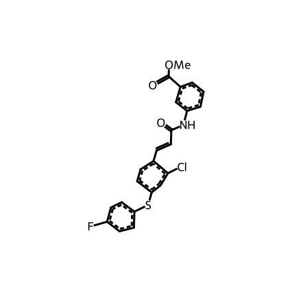 COC(=O)c1cccc(NC(=O)C=Cc2ccc(Sc3ccc(F)cc3)cc2Cl)c1